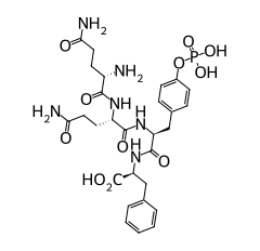 NC(=O)CC[C@H](NC(=O)[C@@H](N)CCC(N)=O)C(=O)N[C@@H](Cc1ccc(OP(=O)(O)O)cc1)C(=O)N[C@@H](Cc1ccccc1)C(=O)O